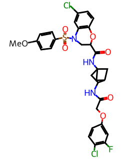 COc1ccc(S(=O)(=O)N2CC(C(=O)NC34CC(C3)C(NC(=O)COc3ccc(Cl)c(F)c3)C4)Oc3ccc(Cl)cc32)cc1